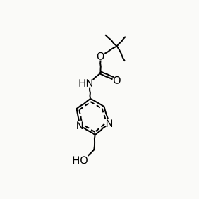 CC(C)(C)OC(=O)Nc1cnc(CO)nc1